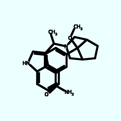 COC1(c2cccc(C(N)=O)c2)C2CCC1CN(C(C)c1c[nH]c3ccccc13)C2